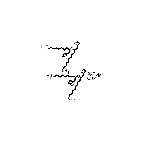 CCCCCCCCCC(CC1CCO1)OC(CCCCCCCCC)CC1CCO1.CCCCCCCCCC(CC1CCO1)OC(CCCCCCCCC)CC1CCO1.O=S(=O)([O-])[O-].[Na+].[Na+]